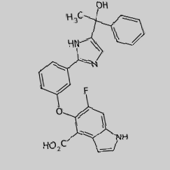 CC(O)(c1ccccc1)c1cnc(-c2cccc(Oc3c(F)cc4[nH]ccc4c3C(=O)O)c2)[nH]1